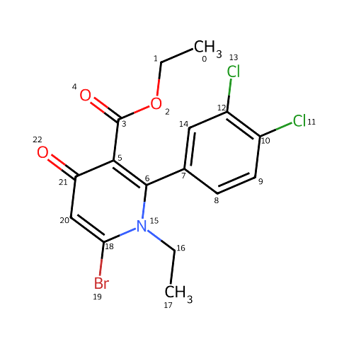 CCOC(=O)c1c(-c2ccc(Cl)c(Cl)c2)n(CC)c(Br)cc1=O